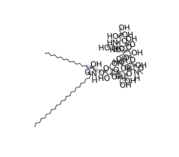 CCCCCCCCCCCCC/C=C/[C@@H](O)[C@H](CO[C@@H]1OC(CO)[C@@H](O[C@@H]2OC(CO)[C@H](O)[C@H](O[C@@H]3OC(CO)[C@@H](O[C@@H]4OC(CO)[C@H](O)[C@H](O[C@]5(C(=O)O)CC(O)[C@@H](NC(=O)CO)C([C@H](O)[C@H](O)CO)O5)C4O)[C@H](O)C3NC(C)=O)C2O)[C@H](O)C1O)NC(=O)CCCCCCCCCCCCCCCCCCCCCCC